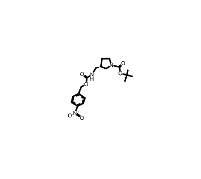 CC(C)(C)OC(=O)N1CC[C@H](CNC(=O)OCc2ccc([N+](=O)[O-])cc2)C1